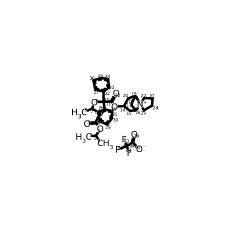 CC(C)OC(=O)OC(C)OC(C(=O)OC1CC2CCC(C1)[N+]21CCCC1)(c1ccccc1)c1ccccc1.O=C([O-])C(F)(F)F